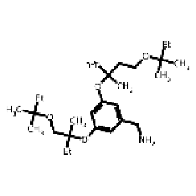 CCCC(C)(CCOC(C)(C)CC)Oc1cc(CN)cc(OC(C)(CC)COC(C)(C)CC)c1